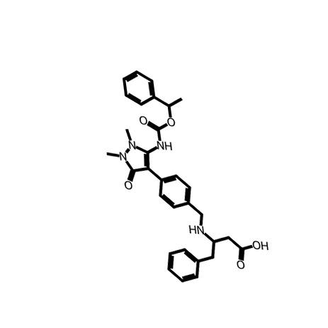 CC(OC(=O)Nc1c(-c2ccc(CNC(CC(=O)O)Cc3ccccc3)cc2)c(=O)n(C)n1C)c1ccccc1